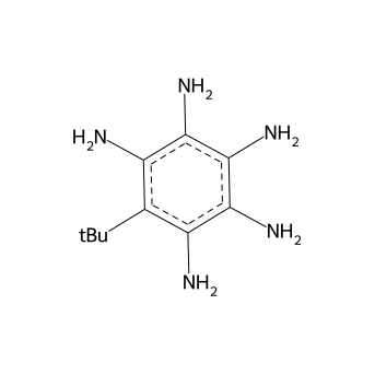 CC(C)(C)c1c(N)c(N)c(N)c(N)c1N